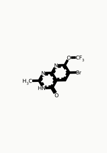 Cc1nc2nc(OC(F)(F)F)c(Br)cc2c(=O)[nH]1